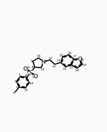 Cc1ccc(S(=O)(=O)C2CCN(CCc3ccc4occc4c3)C2)cc1